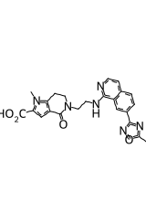 Cc1nc(-c2ccc3ccnc(NCCN4CCc5c(cc(C(=O)O)n5C)C4=O)c3c2)no1